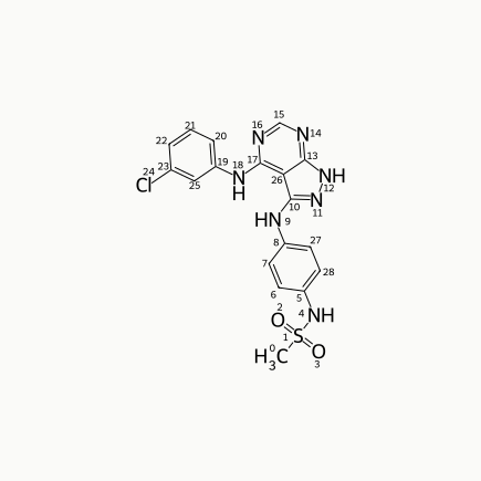 CS(=O)(=O)Nc1ccc(Nc2n[nH]c3ncnc(Nc4cccc(Cl)c4)c23)cc1